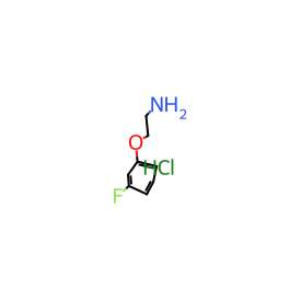 Cl.NCCOc1cccc(F)c1